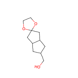 OCC1CC2CC3(CC2C1)OCCO3